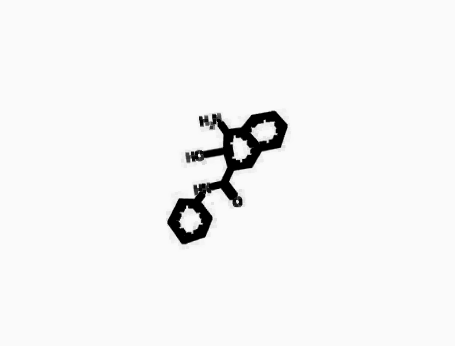 Nc1c(O)c(C(=O)Nc2ccccc2)cc2ccccc12